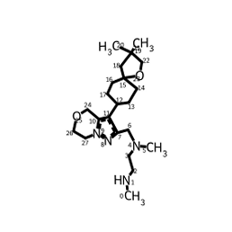 CNCCN(C)Cc1nn2c(c1C1CCC3(CC1)CC(C)(C)CO3)COCC2